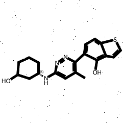 Cc1cc(N[C@H]2CCCC(O)C2)nnc1-c1ccc2sccc2c1O